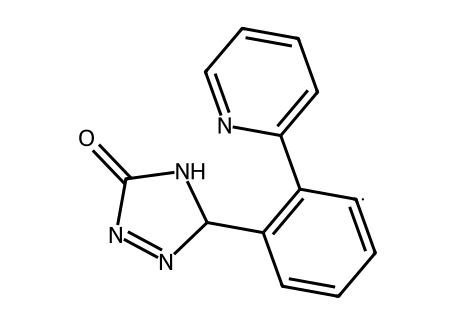 O=C1N=NC(c2ccc[c]c2-c2ccccn2)N1